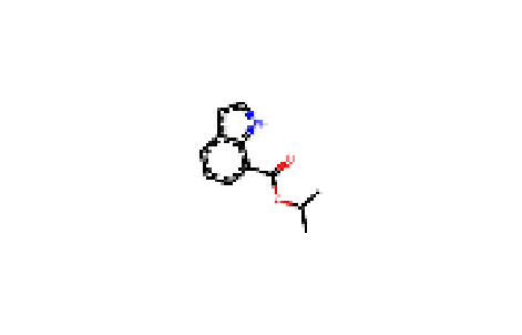 CC(C)OC(=O)c1cccc2cc[nH]c12